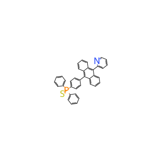 S=P(c1ccccc1)(c1ccccc1)c1ccc(-c2c3ccccc3c(-c3ccccn3)c3ccccc23)cc1